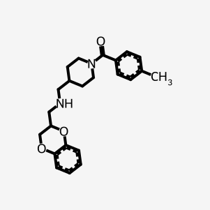 Cc1ccc(C(=O)N2CCC(CNCC3COc4ccccc4O3)CC2)cc1